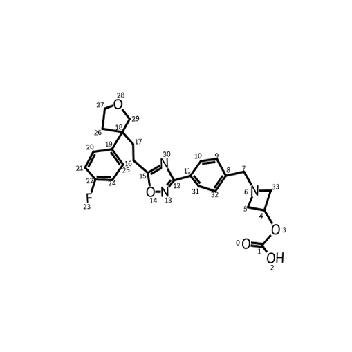 O=C(O)OC1CN(Cc2ccc(-c3noc(CCC4(c5ccc(F)cc5)CCOC4)n3)cc2)C1